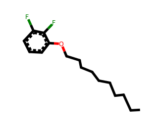 CCCCCCCCCCOc1cccc(F)c1F